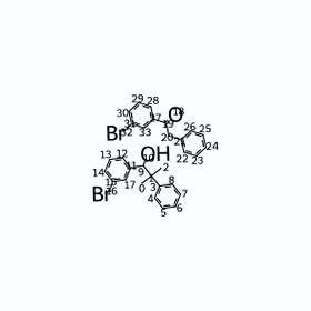 CC(C)(c1ccccc1)C(O)c1cccc(Br)c1.O=C(Cc1ccccc1)c1cccc(Br)c1